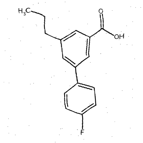 CCCc1cc(C(=O)O)cc(-c2ccc(F)cc2)c1